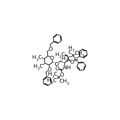 C=C[C@@H](O[Si](c1ccccc1)(c1ccccc1)C(C)(C)C)[C@H](CO[C@H]1OC(COCc2ccccc2)[C@H](C)[C@H](C)C1OCc1ccccc1)NC(=O)OC(C)(C)C